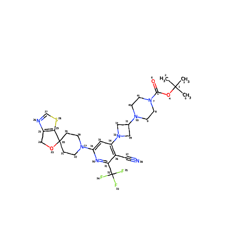 CC(C)(C)OC(=O)N1CCN(C2CN(c3cc(N4CCC5(CC4)OCc4ncsc45)nc(C(F)(F)F)c3C#N)C2)CC1